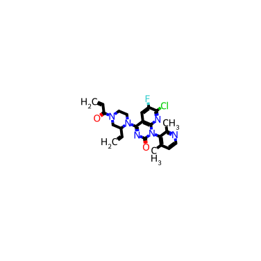 C=CC(=O)N1CCN(c2nc(=O)n(-c3c(C)ccnc3C)c3nc(Cl)c(F)cc23)C(C=C)C1